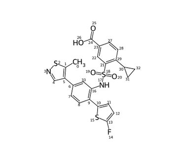 Cc1sncc1-c1ccc(-c2ccc(F)s2)c(NS(=O)(=O)c2cc(C(=O)O)ccc2C2CC2)c1